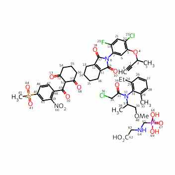 C#CC(C)Oc1cc(N2C(=O)C3=C(CCCC3)C2=O)c(F)cc1Cl.CCc1cccc(C)c1N(C(=O)CCl)C(C)COC.CS(=O)(=O)c1ccc(C(=O)C2C(=O)CCCC2=O)c([N+](=O)[O-])c1.O=C(O)CNCP(=O)(O)O